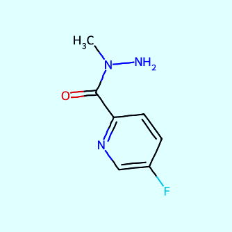 CN(N)C(=O)c1ccc(F)cn1